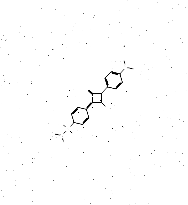 CN(C)c1ccc(C2C(=O)C(=C3C=CC([N+](C)(C)N(C)C)C=C3)C2O)cc1